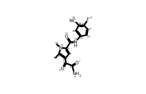 Cc1c(C(=O)C(N)=O)cc(C(=O)Nc2ccc(F)c(C#N)c2)n1C